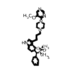 COc1cncnc1N1CCN(CCCc2c[nH]c3ccc(C(c4ccccc4)N(C)S(C)(=O)=O)cc23)CC1